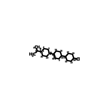 CC(C)N1CCN(C2=NCC(C3CCC(Cl)CC3)CC2)CC1